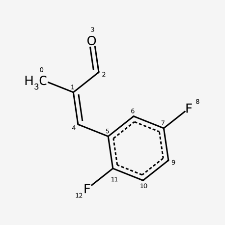 CC(C=O)=Cc1cc(F)ccc1F